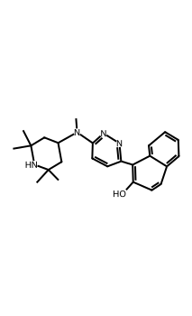 CN(c1ccc(-c2c(O)ccc3ccccc23)nn1)C1CC(C)(C)NC(C)(C)C1